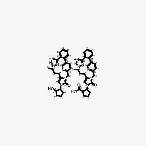 CCCCc1cn(C2CCCC2C(=O)O)c(=O)n1Cc1ccc(-c2ccccc2-c2nnn[nH]2)cn1.CCCCc1cn(C2CCCC2O)c(=O)n1Cc1ccc(-c2ccccc2-c2nnn[nH]2)cn1